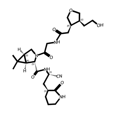 CC1(C)[C@@H]2[C@@H](C(=O)N[C@H](C#N)C[C@@H]3CCCNC3=O)N(C(=O)CNC(=O)C[C@H]3COC[C@H]3CCO)C[C@@H]21